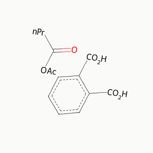 CCCC(=O)OC(C)=O.O=C(O)c1ccccc1C(=O)O